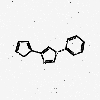 C1=CCC(c2cn(-c3ccccc3)cn2)=C1